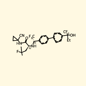 CCC(O)(c1ccc(-c2ccc([C@H](N[C@@H](CC(C)(C)F)C(=O)NC3(C#N)CC3)C(F)(F)F)cc2)cc1)C(F)(F)F